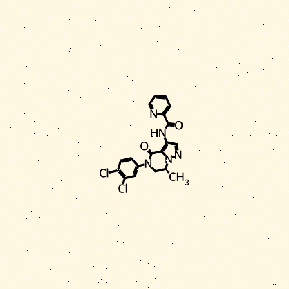 C[C@H]1CN(c2ccc(Cl)c(Cl)c2)C(=O)c2c(NC(=O)c3ccccn3)cnn21